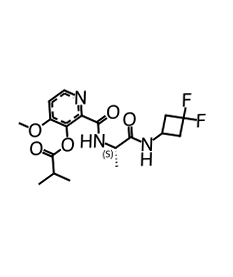 COc1ccnc(C(=O)N[C@@H](C)C(=O)NC2CC(F)(F)C2)c1OC(=O)C(C)C